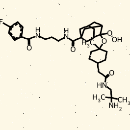 CC(C)(N)CNC(=O)CC1CCC(C)(OC2(OO)C3CC4CC2CC(C(=O)NCCCNC(=O)c2ccc(F)cc2)(C4)C3)CC1